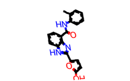 Cc1ccccc1NC(=O)c1cccc2[nH]c(-c3ccc(O)o3)nc12